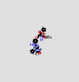 CC[C@@H]1C(=O)N(C)c2cnc(Nc3ccc(OCCC(NC(=O)OC(C)(C)C)C(=O)OC4CCCC4)cc3)nc2N1C1CCCC1